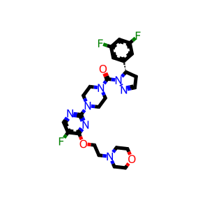 O=C(N1CCN(c2ncc(F)c(OCCN3CCOCC3)n2)CC1)N1N=CC[C@H]1c1cc(F)cc(F)c1